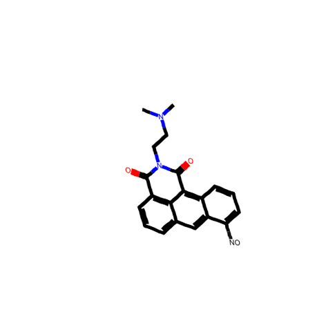 CN(C)CCN1C(=O)c2cccc3cc4c(N=O)cccc4c(c23)C1=O